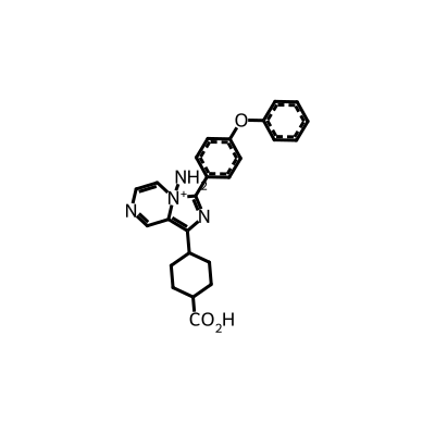 N[N+]12C=CN=CC1=C(C1CCC(C(=O)O)CC1)N=C2c1ccc(Oc2ccccc2)cc1